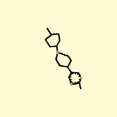 Cc1ncc(C2CCN(C3CCC(C)CC3)CC2)cn1